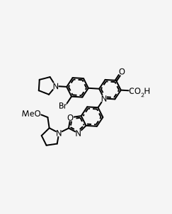 COCC1CCCN1c1nc2ccc(-n3cc(C(=O)O)c(=O)cc3-c3ccc(N4CCCC4)c(Br)c3)cc2o1